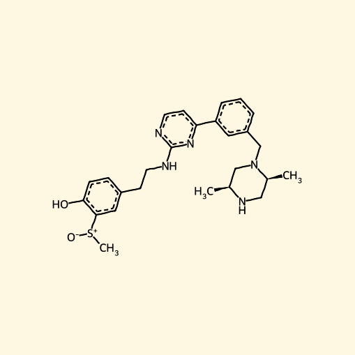 C[C@H]1CN(Cc2cccc(-c3ccnc(NCCc4ccc(O)c([S+](C)[O-])c4)n3)c2)[C@@H](C)CN1